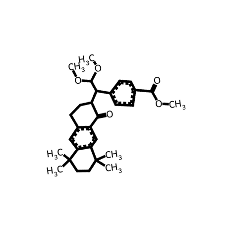 COC(=O)c1ccc(C(C(OC)OC)C2CCc3cc4c(cc3C2=O)C(C)(C)CCC4(C)C)cc1